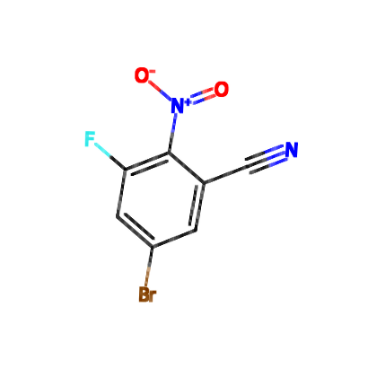 N#Cc1cc(Br)cc(F)c1[N+](=O)[O-]